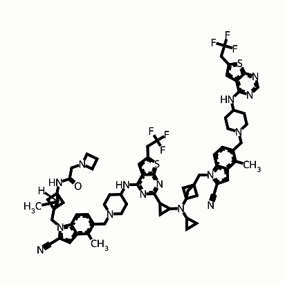 Cc1c(CN2CCC(Nc3ncnc4sc(CC(F)(F)F)cc34)CC2)ccc2c1cc(C#N)n2CC12CC(N(C3CC3)C3CC3c3nc(NC4CCN(Cc5ccc6c(cc(C#N)n6CC67CC(NC(=O)CN8CCC8)(C6)[C@H]7C)c5C)CC4)c4cc(CC(F)(F)F)sc4n3)(C1)C2